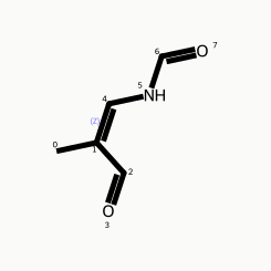 C/C(C=O)=C/NC=O